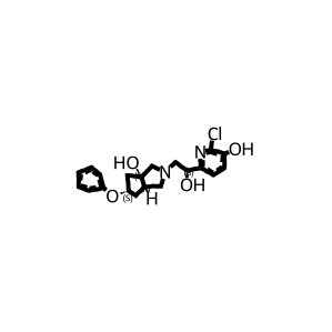 Oc1ccc([C@@H](O)CN2C[C@H]3C[C@H](Oc4ccccc4)C[C@@]3(O)C2)nc1Cl